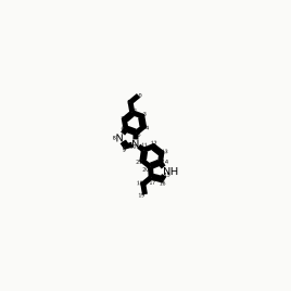 CCc1ccc2c(c1)ncn2-c1ccc2[nH]cc(CC)c2c1